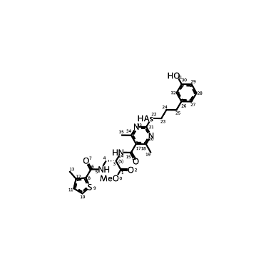 COC(=O)[C@H](CNC(=O)c1sccc1C)NC(=O)c1c(C)nc([AsH]CCCc2cccc(O)c2)nc1C